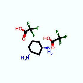 N[C@@H]1CCC[C@@H](N)C1.O=C(O)C(F)(F)F.O=C(O)C(F)(F)F